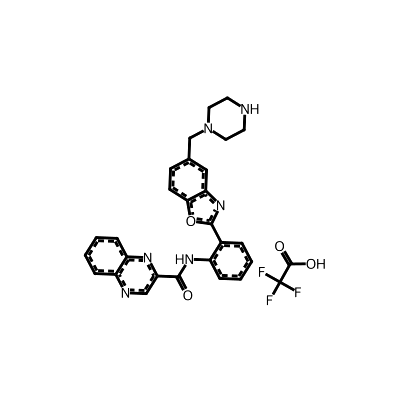 O=C(Nc1ccccc1-c1nc2cc(CN3CCNCC3)ccc2o1)c1cnc2ccccc2n1.O=C(O)C(F)(F)F